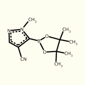 Cn1ncc(C#N)c1B1OC(C)(C)C(C)(C)O1